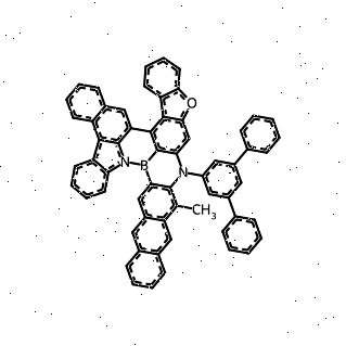 Cc1c2c(cc3cc4ccccc4cc13)B1c3c(cc4oc5ccccc5c4c3-c3cc4ccccc4c4c5ccccc5n1c34)N2c1cc(-c2ccccc2)cc(-c2ccccc2)c1